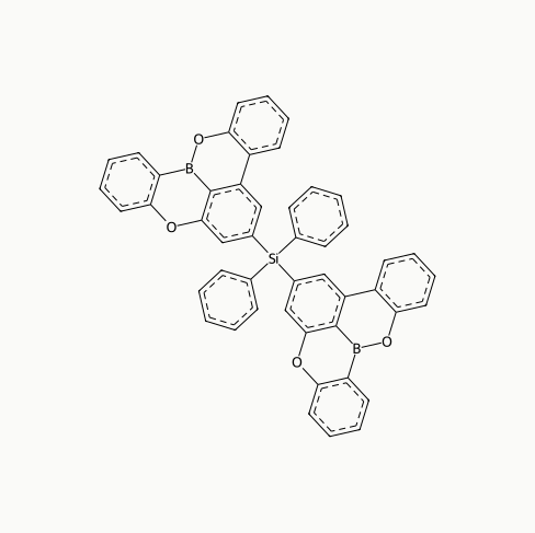 c1ccc([Si](c2ccccc2)(c2cc3c4c(c2)-c2ccccc2OB4c2ccccc2O3)c2cc3c4c(c2)-c2ccccc2OB4c2ccccc2O3)cc1